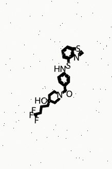 O=C(c1ccc(NSc2cccc3scnc23)cc1)N1CCC(O)(CCCC(F)(F)F)CC1